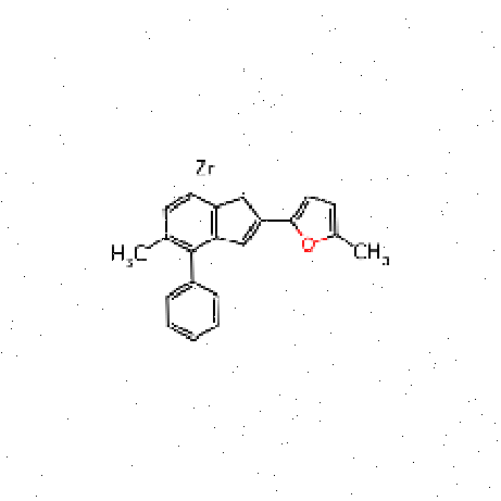 Cc1ccc(C2=Cc3c(ccc(C)c3-c3ccccc3)[CH]2)o1.[Zr]